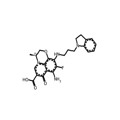 C[C@H]1COc2c(NCCCN3CCc4ccccc43)c(F)c(N)c3c(=O)c(C(=O)O)cn1c23